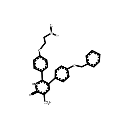 CCN(CC)CCOc1ccc(-c2[nH]c(=O)c(C(=O)O)cc2-c2ccc(OCc3ccccc3)cc2)cc1